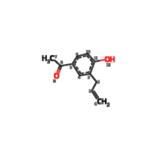 C=CCc1cc(C(C)=O)ccc1O